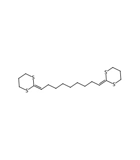 C(CCCCCCCC=C1SCCCS1)=C1SCCCS1